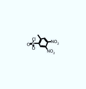 Cc1cc([N+](=O)[O-])c([N+](=O)[O-])cc1S(=O)(=O)Cl